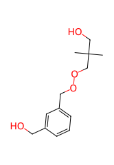 CC(C)(CO)COOCc1cccc(CO)c1